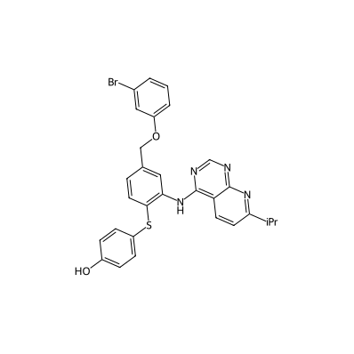 CC(C)c1ccc2c(Nc3cc(COc4cccc(Br)c4)ccc3Sc3ccc(O)cc3)ncnc2n1